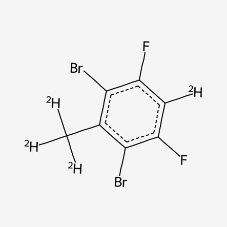 [2H]c1c(F)c(Br)c(C([2H])([2H])[2H])c(Br)c1F